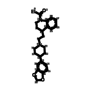 CCC(=O)N1CCC(CCN2CCC(c3ccc4c(c3)OCO4)CC2)c2ccccc21